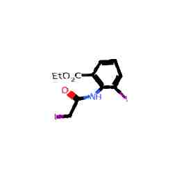 CCOC(=O)c1cccc(I)c1NC(=O)CI